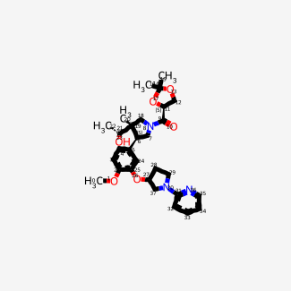 COc1ccc([C@@H]2CN(C(=O)[C@@H]3COC(C)(C)O3)C[C@@]2(C)[C@@H](C)O)cc1OC1CCN(c2ccccn2)C1